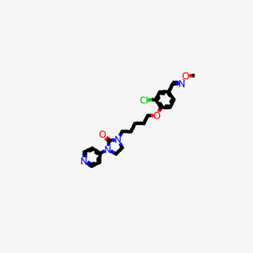 CO/N=C/c1ccc(OCCCCCN2CCN(c3ccncc3)C2=O)c(Cl)c1